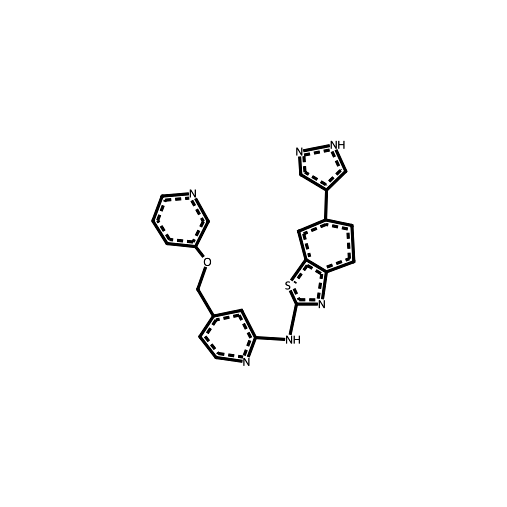 c1cncc(OCc2ccnc(Nc3nc4ccc(-c5cn[nH]c5)cc4s3)c2)c1